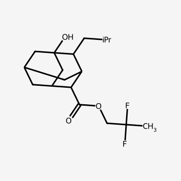 CC(C)CC1C2CC3CC(CC1(O)C3)C2C(=O)OCC(C)(F)F